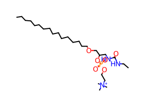 CCCCCCCCCCCCCCCCOCC(CNC(=O)NCC)OP(=O)([O-])OCC[N+](C)(C)C